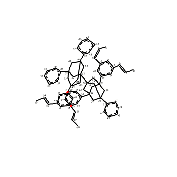 CC=Cc1cc(C=CC)cc(C23CC4(c5ccccc5)CC(c5ccccc5)(C2)CC(C25CC6(c7ccccc7)CC(c7ccccc7)(CC(c7cc(C=CC)cc(C=CC)c7)(C6)C2)C5)(C4)C3)c1